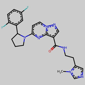 Cn1cncc1CCNC(=O)c1cnn2ccc(N3CCCC3c3cc(F)ccc3F)nc12